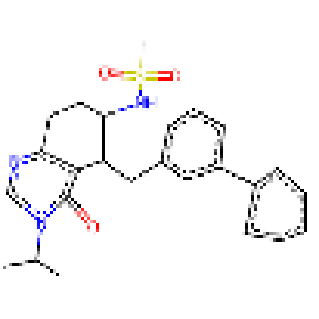 CC(C)n1cnc2c(c1=O)C(Cc1cccc(-c3ccccc3)c1)C(NS(C)(=O)=O)CC2